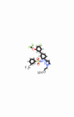 COCCn1ccc(-c2ccc(-c3cc(F)cc(OC(F)F)c3)cc2NS(=O)(=O)c2cccc(C(F)(F)F)c2)n1